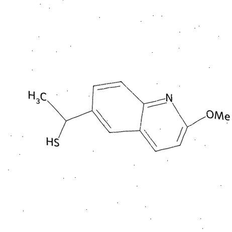 COc1ccc2cc(C(C)S)ccc2n1